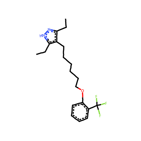 CCc1n[nH]c(CC)c1CCCCCCOc1ccccc1C(F)(F)F